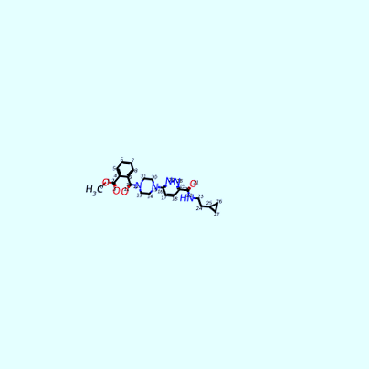 COC(=O)c1ccccc1C(=O)N1CCN(c2ccc(C(=O)NCCC3CC3)nn2)CC1